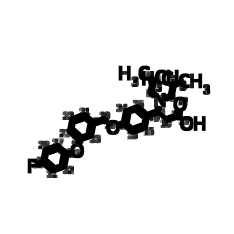 CC(C)CN(CC(C)C)[C@@H](CC(=O)O)c1ccc(OCc2cccc(Oc3ccc(F)cc3)c2)cc1